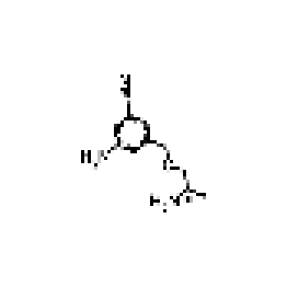 C[C@@H](N)COCc1cc(N)cc(C#N)c1